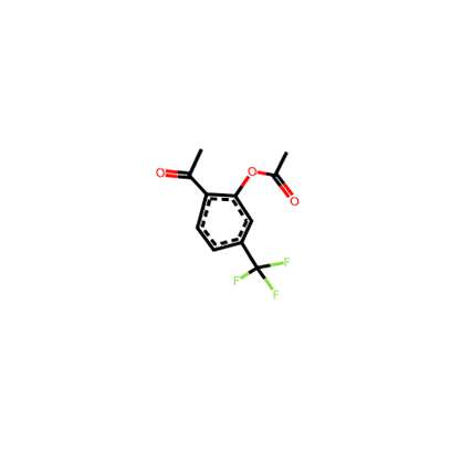 CC(=O)Oc1cc(C(F)(F)F)ccc1C(C)=O